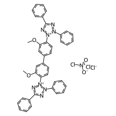 COc1cc(-c2ccc(-[n+]3nc(-c4ccccc4)nn3-c3ccccc3)c(OC)c2)ccc1-[n+]1nc(-c2ccccc2)nn1-c1ccccc1.O=[N+]([O-])Cl.[Cl-].[Cl-]